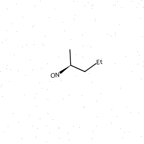 CCC[C@H](C)N=O